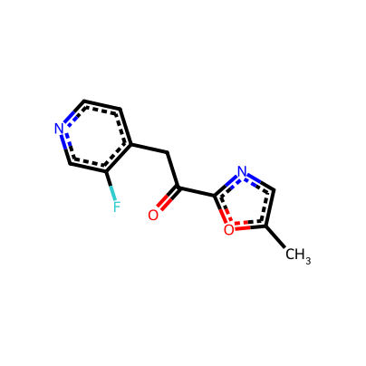 Cc1cnc(C(=O)Cc2ccncc2F)o1